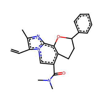 C=Cc1c(C)nc2c3c(c(C(=O)N(C)C)cn12)CCC(c1ccccc1)O3